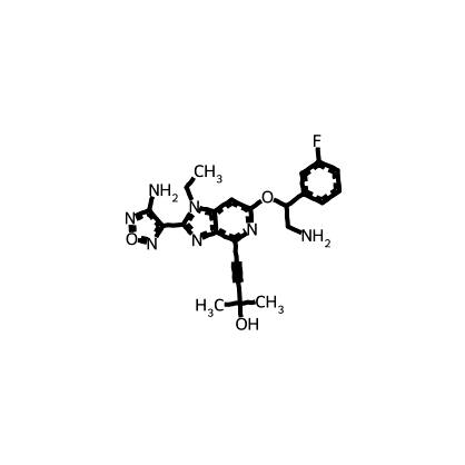 CCn1c(-c2nonc2N)nc2c(C#CC(C)(C)O)nc(OC(CN)c3cccc(F)c3)cc21